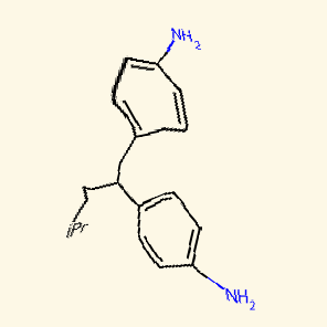 CC(C)CC(c1ccc(N)cc1)c1ccc(N)cc1